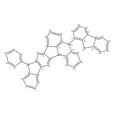 c1ccc(-n2c3ccccc3c3cc4c(cc32)c2cccc3c2n4-c2ccccc2N3c2cccc3c2oc2ccccc23)cc1